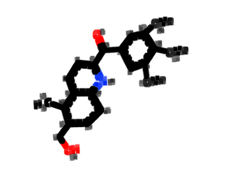 COc1cc(C(=O)c2ccc3c(C)c(CO)ccc3n2)cc(OC)c1OC